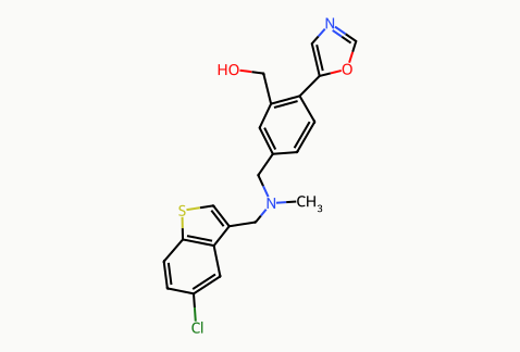 CN(Cc1ccc(-c2cnco2)c(CO)c1)Cc1csc2ccc(Cl)cc12